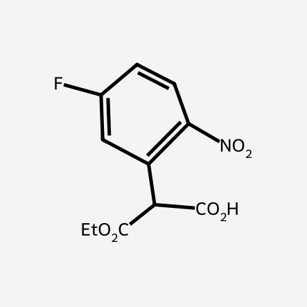 CCOC(=O)C(C(=O)O)c1cc(F)ccc1[N+](=O)[O-]